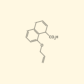 C=CCOc1cc[c]c2c1C(C(=O)O)C=C[CH]2